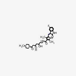 Cc1[nH]c(/C=C2\C(=O)Nc3ccc(F)cc32)c(C)c1C(=O)NCC[C@@H](O)C[C@@H](O)CC(=O)N1CCN(C)CC1